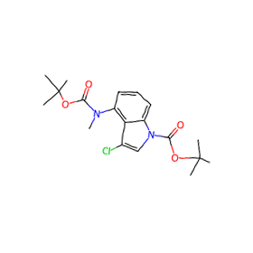 CN(C(=O)OC(C)(C)C)c1cccc2c1c(Cl)cn2C(=O)OC(C)(C)C